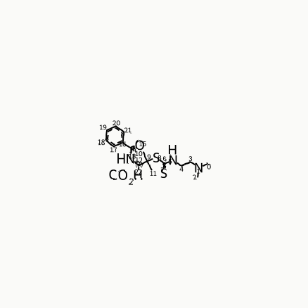 CN(C)CCNC(=S)SC(C)(C)[C@H](NC(=O)c1ccccc1)C(=O)O